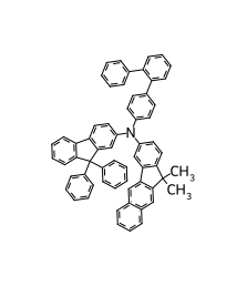 CC1(C)c2ccc(N(c3ccc(-c4ccccc4-c4ccccc4)cc3)c3ccc4c(c3)C(c3ccccc3)(c3ccccc3)c3ccccc3-4)cc2-c2cc3ccccc3cc21